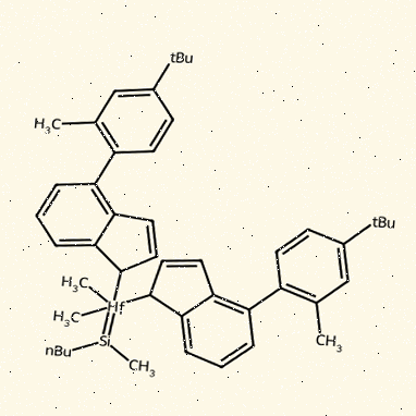 CCCC[Si](C)=[Hf]([CH3])([CH3])([CH]1C=Cc2c(-c3ccc(C(C)(C)C)cc3C)cccc21)[CH]1C=Cc2c(-c3ccc(C(C)(C)C)cc3C)cccc21